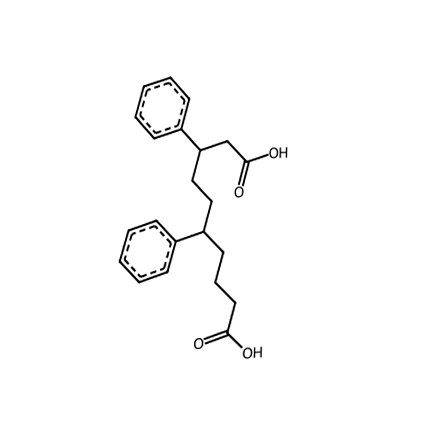 O=C(O)CCCC(CCC(CC(=O)O)c1ccccc1)c1ccccc1